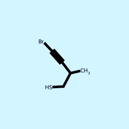 CC(C#CBr)CS